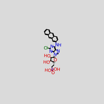 O=P(O)(O)CC[C@H]1O[C@@H](n2cnc3c(Nc4ccc5cc6ccccc6cc5c4)nc(Cl)nc32)C(O)C1O